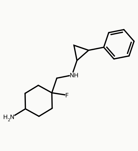 NC1CCC(F)(CNC2CC2c2ccccc2)CC1